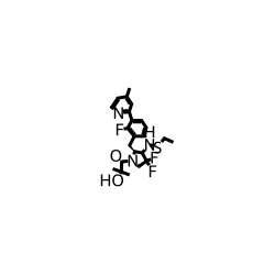 CCSNC1[C@H](Cc2cccc(-c3cc(C)ccn3)c2F)N(C(=O)C(C)(C)O)CC1(F)F